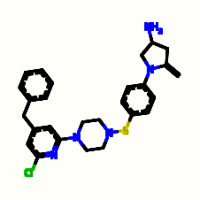 C=C1CC(N)CN1c1ccc(SN2CCN(c3cc(Cc4ccccc4)cc(Cl)n3)CC2)cc1